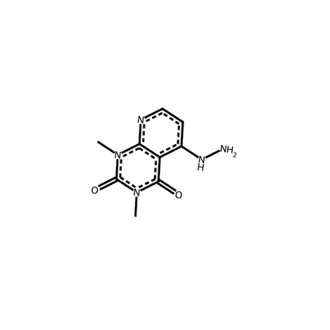 Cn1c(=O)c2c(NN)ccnc2n(C)c1=O